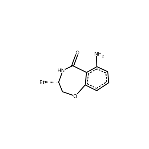 CC[C@H]1COc2cccc(N)c2C(=O)N1